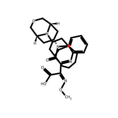 CON=C(C(=O)O)c1nc2ccccc2n([C@H]2C[C@H]3COC[C@@H](C2)N3C2CC3CCCCC(C3)C2)c1=O